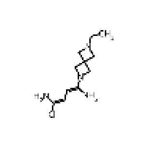 CCN1CC2(C1)CN(/C(N)=C/C=C(\N)Cl)C2